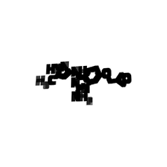 Cc1cc(Nc2nc(N)nc3cc(OCC4COC4)ccc23)n[nH]1